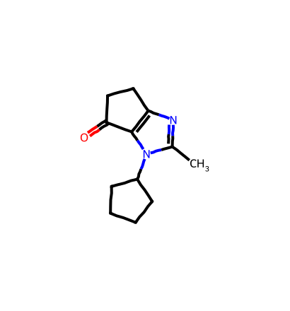 Cc1nc2c(n1C1CCCC1)C(=O)CC2